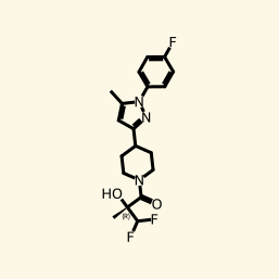 Cc1cc(C2CCN(C(=O)[C@@](C)(O)C(F)F)CC2)nn1-c1ccc(F)cc1